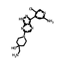 NCC1(O)CCN(c2cnc3c(-c4cc(N)ncc4Cl)n[nH]c3n2)CC1